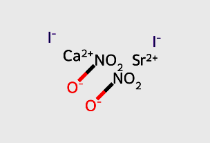 O=[N+]([O-])[O-].O=[N+]([O-])[O-].[Ca+2].[I-].[I-].[Sr+2]